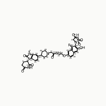 Cn1c(=O)n(C2CCC(=O)NC2=O)c2ccc(C3CCN(CC(=O)NCCOc4ccc5cc(O)c(N6CC(=O)NS6(=O)=O)c(F)c5c4)CC3)cc21